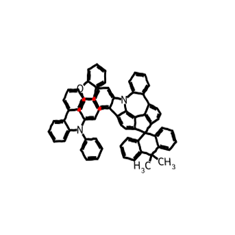 CC1(C)c2ccccc2C2(c3ccccc31)c1cccc3c1-c1c2ccc2c4cc(-c5cccc(-c6ccccc6N(c6ccccc6)c6ccc7c(c6)oc6ccccc67)c5)ccc4n(c12)-c1ccccc1-3